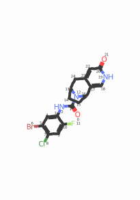 O=C(Nc1cc(Br)c(Cl)cc1F)N1C2CCC1c1c[nH]c(=O)cc1C2